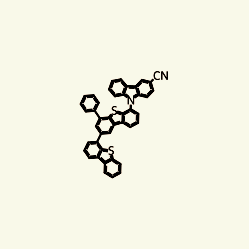 N#Cc1ccc2c(c1)c1ccccc1n2-c1cccc2c1sc1c(-c3ccccc3)cc(-c3cccc4c3sc3ccccc34)cc12